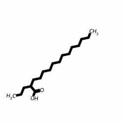 CCCCCCCCCCCCCC(CCC)C(=O)O